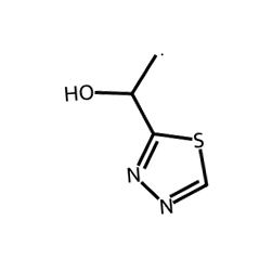 [CH2]C(O)c1nncs1